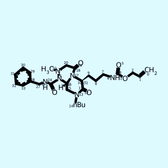 C=CCOC(=O)NCCC[C@H]1C(=O)N(CCCC)C[C@H]2N1C(=O)CN(C)N2C(=O)NCc1ccccc1